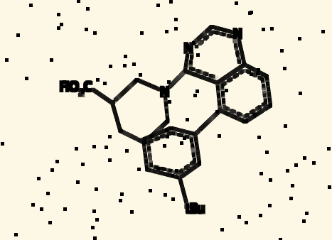 CC(C)(C)c1cccc(-c2cccc3ncnc(N4CCCC(C(=O)O)C4)c23)c1